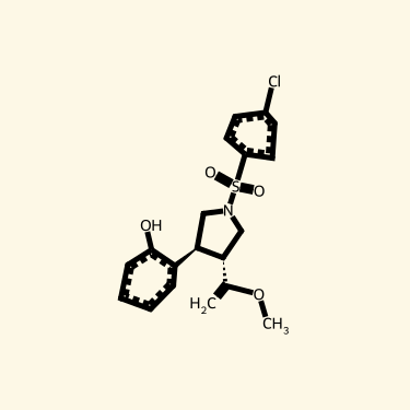 C=C(OC)[C@H]1CN(S(=O)(=O)c2ccc(Cl)cc2)C[C@@H]1c1ccccc1O